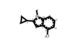 Cn1c(C2CC2)cc2c(Cl)cccc21